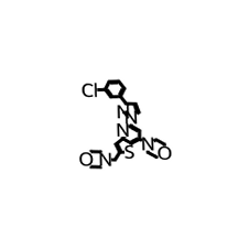 Clc1cccc(-c2ccn(-c3cc(N4CCOCC4)c4sc(CN5CCOCC5)cc4n3)n2)c1